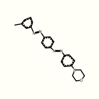 Cc1cccc(/N=N/c2ccc(/N=N/c3ccc(N4CCOCC4)cc3)cc2)c1